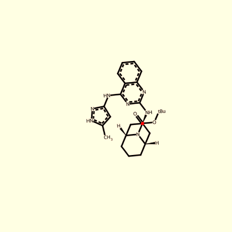 Cc1cc(Nc2nc(N[C@@H]3C[C@H]4CCC[C@@H](C3)N4C(=O)OC(C)(C)C)nc3ccccc23)n[nH]1